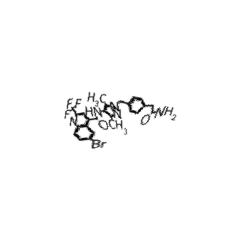 Cc1nn(Cc2ccc(CC(N)=O)cc2)c(C)c1NC(=O)c1cc(C(F)(F)F)nc2ccc(Br)cc12